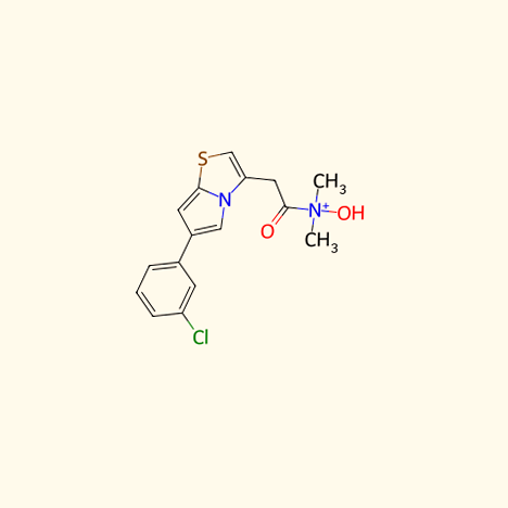 C[N+](C)(O)C(=O)Cc1csc2cc(-c3cccc(Cl)c3)cn12